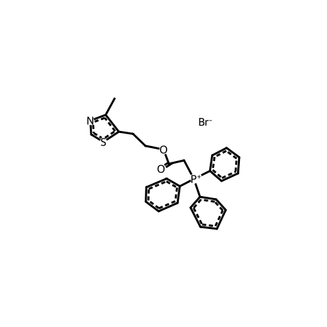 Cc1ncsc1CCOC(=O)C[P+](c1ccccc1)(c1ccccc1)c1ccccc1.[Br-]